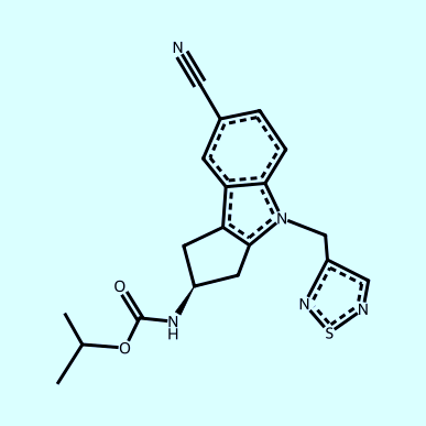 CC(C)OC(=O)N[C@H]1Cc2c(n(Cc3cnsn3)c3ccc(C#N)cc23)C1